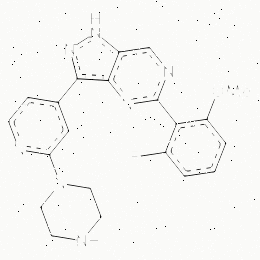 COc1cccc(F)c1-c1ncc2[nH]nc(-c3ccnc(N4CCNCC4)c3)c2n1